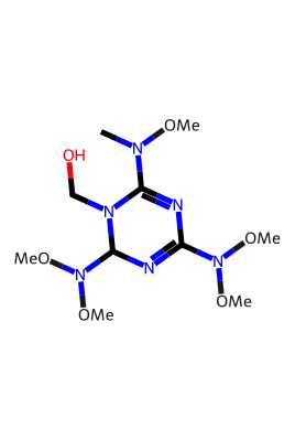 CON(C)C1=NC(N(OC)OC)=NC(N(OC)OC)N1CO